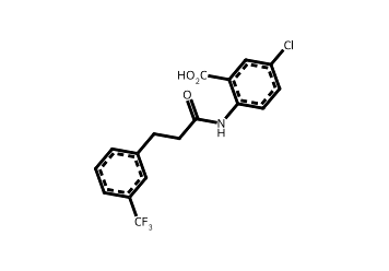 O=C(CCc1cccc(C(F)(F)F)c1)Nc1ccc(Cl)cc1C(=O)O